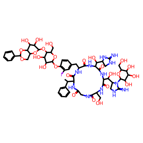 CC(c1ccccc1)C1NC(=O)CNC(=O)C(CO)NC(=O)C(C(O)C2CNC(=N)N2C2OC(CO)C(O)C(O)C2O)NC(=O)C(C(O)C2CNC(=N)N2)NC(=O)C(Cc2ccc(OC3OC(CO)C(OC4OC5COC(c6ccccc6)OC5C(O)C4O)C(O)C3O)c(I)c2)NC1=O